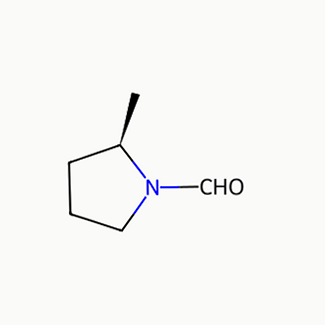 C[C@@H]1CCCN1C=O